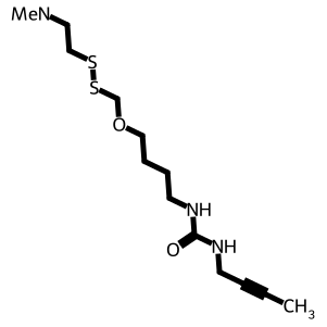 CC#CCNC(=O)NCCCCOCSSCCNC